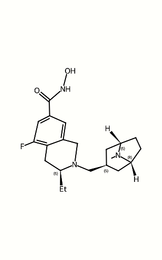 CC[C@H]1Cc2c(F)cc(C(=O)NO)cc2CN1C[C@@H]1C[C@H]2CC[C@@H](C1)N2C